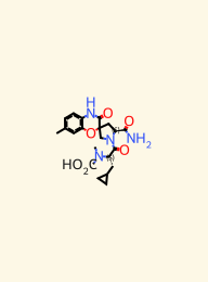 Cc1ccc2c(c1)OC1(C[C@@H](C(N)=O)N(C(=O)[C@H](CC3CC3)N(C)C(=O)O)C1)C(=O)N2